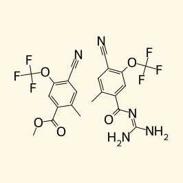 COC(=O)c1cc(OC(F)(F)F)c(C#N)cc1C.Cc1cc(C#N)c(OC(F)(F)F)cc1C(=O)N=C(N)N